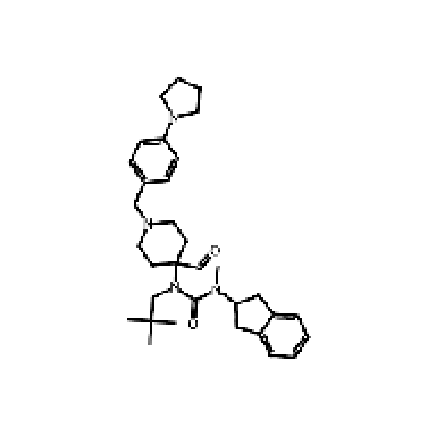 CN(C(=O)N(CC(C)(C)C)C1(C=O)CCN(Cc2ccc(N3CCCC3)cc2)CC1)C1Cc2ccccc2C1